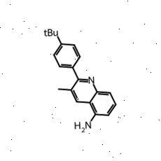 Cc1cc2c(N)cccc2nc1-c1ccc(C(C)(C)C)cc1